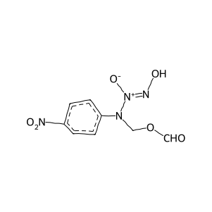 O=COCN(c1ccc([N+](=O)[O-])cc1)/[N+]([O-])=N/O